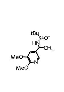 COc1cc(C(C)N[S@@+]([O-])C(C)(C)C)cnc1OC